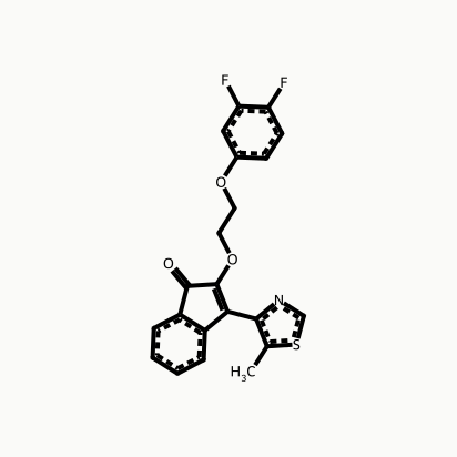 Cc1scnc1C1=C(OCCOc2ccc(F)c(F)c2)C(=O)c2ccccc21